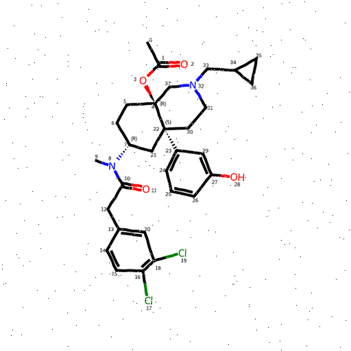 CC(=O)O[C@]12CC[C@@H](N(C)C(=O)Cc3ccc(Cl)c(Cl)c3)C[C@]1(c1cccc(O)c1)CCN(CC1CC1)C2